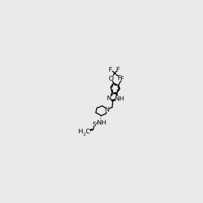 C=CSN[C@@H]1CCCN(Cc2nc3cc(OC(F)(F)F)c(F)cc3[nH]2)C1